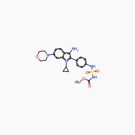 CC(C)(C)OC(=O)NS(=O)(=O)Nc1ccc(-c2c(N)c3ccc(N4CCOCC4)cc3n2C2CC2)cc1